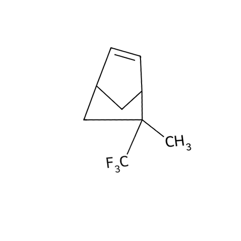 CC1(C(F)(F)F)CC2C=CC1C2